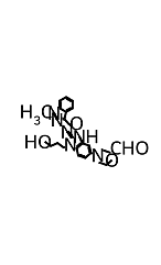 Cn1nc(C(=O)/N=c2\[nH]c3cc(N4CCOC(C=O)C4)ccc3n2CCCO)c2ccccc21